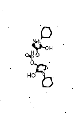 O=[PH](Oc1cnn(C2CCCCC2)c1O)Oc1cnn(C2CCCCC2)c1O